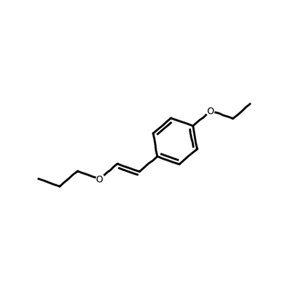 CCCOC=Cc1ccc(OCC)cc1